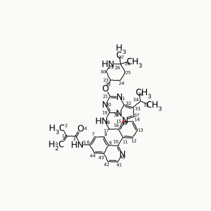 C=C(C)C(=O)Nc1ccc2c(-c3ccccc3CNc3nc(OC4CCC(C)(C)NC4)nc4c(C(C)C)cnn34)nccc2c1